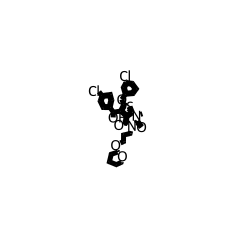 Cn1c(=O)n(CCCOC2CCCCO2)c(=O)c2c(C(O)c3ccc(Cl)cc3)c(Oc3cccc(Cl)c3)sc21